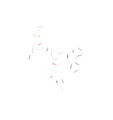 Cn1ccc(C(=O)N[C@H]2CCCCC/C=C\[C@@H]3C[C@@]3(C(=O)NS(=O)(=O)C3CC3)NC(=O)[C@@H]3C[C@@H](Oc4nc5cccc(F)c5c5ccccc45)CN3C2=O)n1